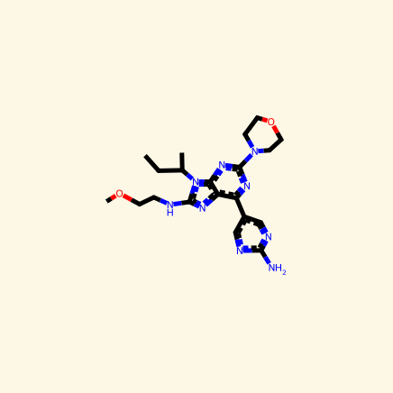 CCC(C)n1c(NCCOC)nc2c(-c3cnc(N)nc3)nc(N3CCOCC3)nc21